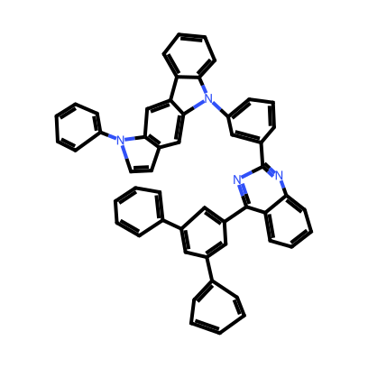 c1ccc(-c2cc(-c3ccccc3)cc(-c3nc(-c4cccc(-n5c6ccccc6c6cc7c(ccn7-c7ccccc7)cc65)c4)nc4ccccc34)c2)cc1